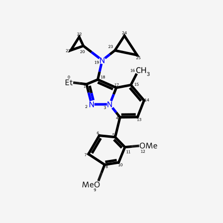 CCc1nn2c(-c3ccc(OC)cc3OC)ccc(C)c2c1N(C1CC1)C1CC1